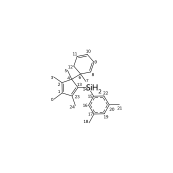 CC1=C(C)C(C)(C2(C)C=CC=CC2)C([SiH2]c2cc(C)cc(C)c2)=C1C